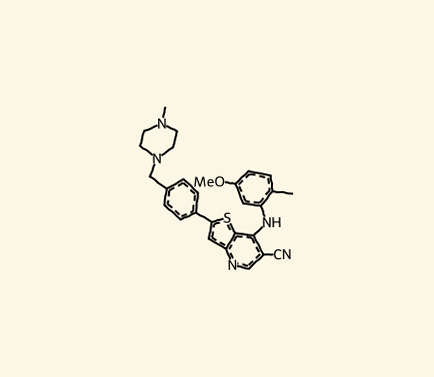 COc1ccc(C)c(Nc2c(C#N)cnc3cc(-c4ccc(CN5CCN(C)CC5)cc4)sc23)c1